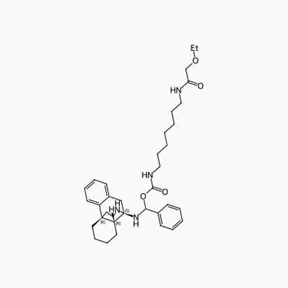 CCOCC(=O)NCCCCCCCNC(=O)OC(N[C@@]12Cc3ccccc3[C@]3(CCCC[C@@H]13)CCN2)c1ccccc1